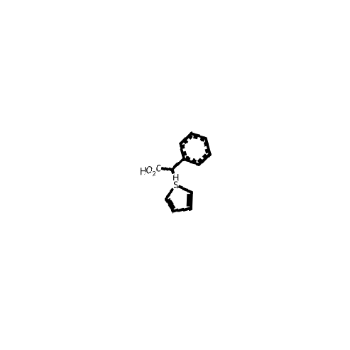 O=C(O)C(c1ccccc1)[SH]1C=CC=C1